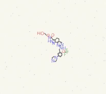 CN1CCN(c2ccc(OC(F)(F)F)c(CNc3ncc4c(n3)-c3c(c(C(=O)NOCCO)nn3C)CC4)c2)CC1